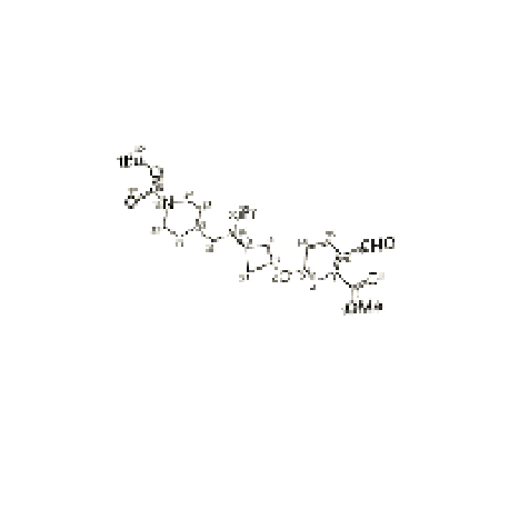 COC(=O)c1cc(O[C@H]2C[C@H](N(CC3CCN(C(=O)OC(C)(C)C)CC3)C(C)C)C2)ccc1C=O